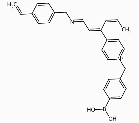 C=Cc1ccc(C/N=C/C=C(\C=C/C)c2cc[n+](Cc3ccc(B(O)O)cc3)cc2)cc1